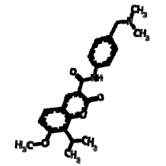 COc1ccc2cc(C(=O)Nc3ccc(CN(C)C)cc3)c(=O)oc2c1C(C)C